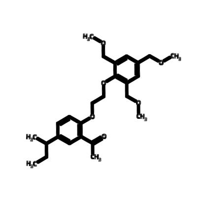 CCC(C)c1ccc(OCCOc2c(COC)cc(COC)cc2COC)c(C(C)=O)c1